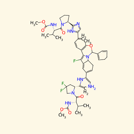 C=C(/C=C\C1=C(C)OC(C2=CCCC=C2)N2C1=C(F)C1=CC(/C(=C/N)NC(=C)[C@H]3CC(F)(F)CN3C(=O)[C@@H](NC(=O)OC)C(C)C)=CCC12)c1cnc([C@@H]2CCCN2C(=O)[C@@H](NC(=O)OC)C(C)C)[nH]1